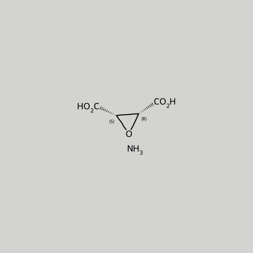 N.O=C(O)[C@H]1O[C@H]1C(=O)O